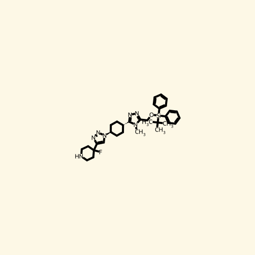 Cn1c(CO[Si](c2ccccc2)(c2ccccc2)C(C)(C)C)nnc1[C@H]1CC[C@H](n2cc(C3(F)CCNCC3)nn2)CC1